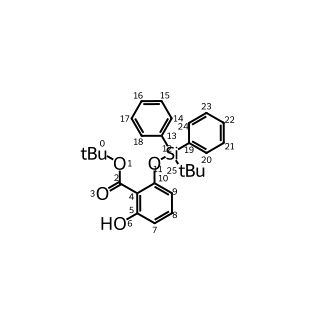 CC(C)(C)OC(=O)c1c(O)cccc1O[Si](c1ccccc1)(c1ccccc1)C(C)(C)C